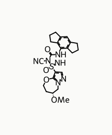 CO[C@@H]1CCOc2c([S@](=N)(=O)N(C#N)C(=O)Nc3c4c(cc5c3CCC5)CCC4)cnn2C1